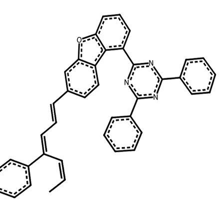 C\C=C/C(=C\C=C\c1ccc2c(c1)oc1cccc(-c3nc(-c4ccccc4)nc(-c4ccccc4)n3)c12)c1ccccc1